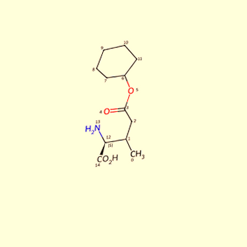 CC(CC(=O)OC1CCCCC1)[C@H](N)C(=O)O